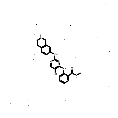 CNC(=O)c1ccccc1Nc1nc(Nc2ccc3c(c2)CNCC3)ncc1Br